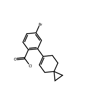 O=C(Cl)c1ccc(Br)cc1C1=CCC2(CC1)CC2